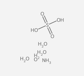 N.O.O.O.O.O=S(=O)(O)O